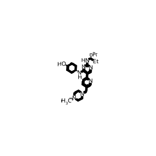 CCC[C@H](CC)Nc1ncc(-c2ccc(CN3CCN(C)CC3)cn2)c(N[C@H]2CC[C@H](O)CC2)n1